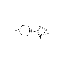 c1cc(N2CCNCC2)n[nH]1